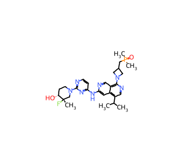 CC(C)c1cnc(N2CC(CP(C)(C)=O)C2)c2cnc(Nc3ccnc(N4CC[C@@H](O)[C@@](C)(F)C4)n3)cc12